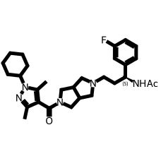 CC(=O)N[C@@H](CCN1CC2CN(C(=O)c3c(C)nn(C4CCCCC4)c3C)CC2C1)c1cccc(F)c1